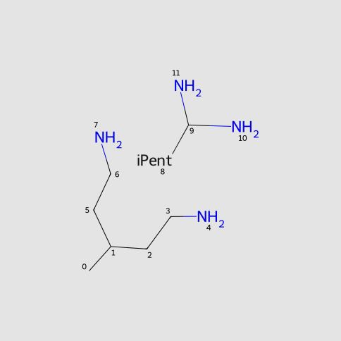 CC(CCN)CCN.CCCC(C)C(N)N